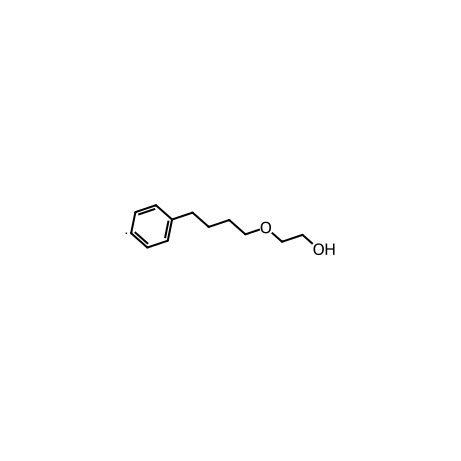 OCCOCCCCc1cc[c]cc1